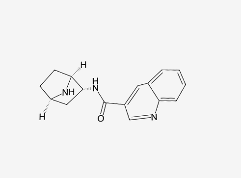 O=C(N[C@@H]1C[C@H]2CC[C@@H]1N2)c1cnc2ccccc2c1